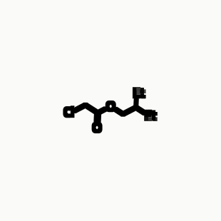 CCC(CC)COC(=O)CCl